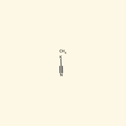 C.N#[C][K]